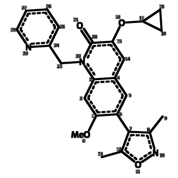 COc1cc2c(cc1-c1c(C)noc1C)cc(OC1CC1)c(=O)n2Cc1ccccn1